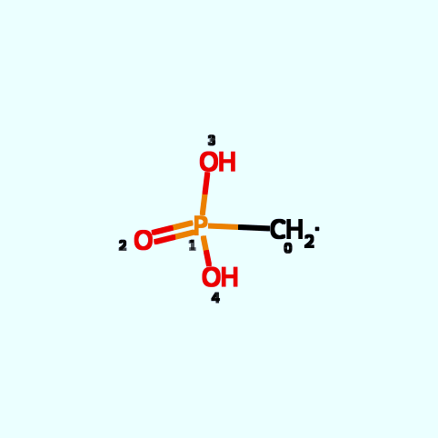 [CH2]P(=O)(O)O